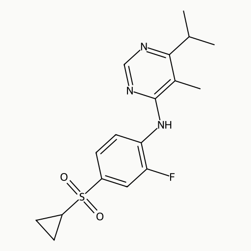 Cc1c(Nc2ccc(S(=O)(=O)C3CC3)cc2F)ncnc1C(C)C